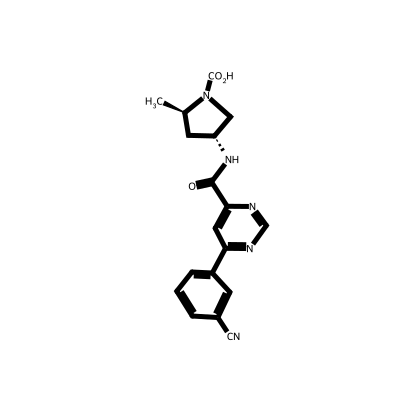 C[C@@H]1C[C@@H](NC(=O)c2cc(-c3cccc(C#N)c3)ncn2)CN1C(=O)O